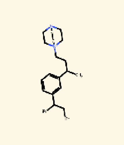 CC(C)CC(c1cccc(C(C)CC[N+]23CCN(CC2)CC3)c1)C(C)C